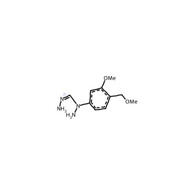 COCc1ccc(N(N)/C=N\N)cc1OC